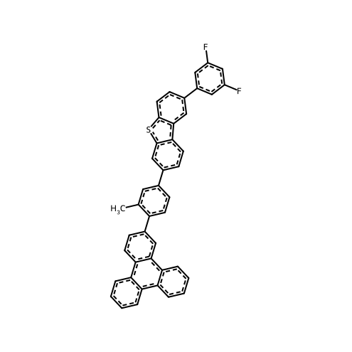 Cc1cc(-c2ccc3c(c2)sc2ccc(-c4cc(F)cc(F)c4)cc23)ccc1-c1ccc2c3ccccc3c3ccccc3c2c1